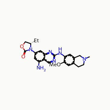 CC[C@H]1COC(=O)N1c1cc(N)c2cnc(Nc3cc4c(cc3OC)CCN(C)C4)nc2c1